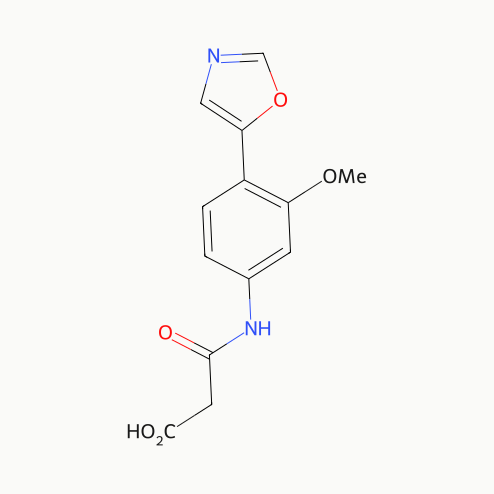 COc1cc(NC(=O)CC(=O)O)ccc1-c1cnco1